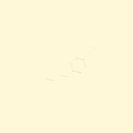 N#Cc1ccc(CNCCO)cc1